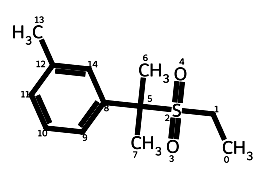 CCS(=O)(=O)C(C)(C)c1cccc(C)c1